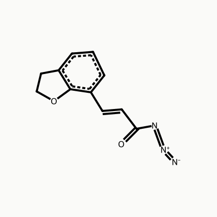 [N-]=[N+]=NC(=O)C=Cc1cccc2c1OCC2